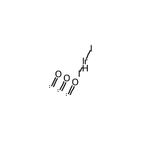 [C]=O.[C]=O.[C]=O.[I][IrH][I]